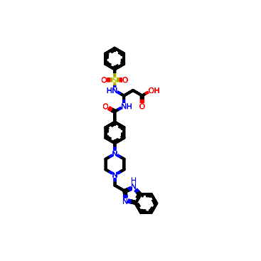 O=C(O)CC(NC(=O)c1ccc(N2CCN(Cc3nc4ccccc4[nH]3)CC2)cc1)NS(=O)(=O)c1ccccc1